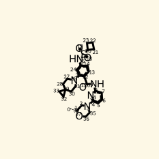 C[C@@H]1CN(c2cccc(NC(=O)c3ccc(NS(=O)(=O)C4CCC4)cc3N3CCC4(CC3)CC4)n2)CCO1